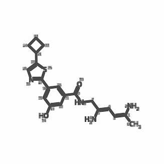 C/C(N)=C/C=C(\N)CNC(=O)c1cc(O)cc(-c2ncc(C3CCC3)s2)c1